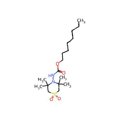 CCCCCCCCOC(=O)NN1C(C)(C)CS(=O)(=O)CC1(C)C